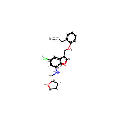 CCOC(=O)Cc1ccccc1OCc1coc2c(NC[C@@H]3CCCO3)cc(Cl)cc12